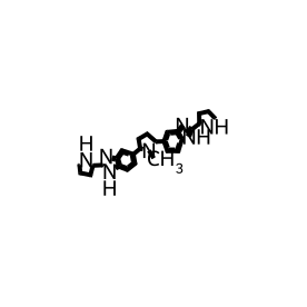 CN1C(c2ccc3[nH]c(C4CCCN4)nc3c2)CCC1c1ccc2[nH]c(C3CCCN3)nc2c1